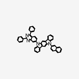 c1ccc(-c2nc(-c3ccccc3)c3ccc(-n4c5ccccc5c5cc6c(cc54)c4ccccc4n6-c4ccc5ccccc5c4)cc3n2)cc1